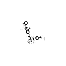 COc1cc(CC(=O)C(NC(=O)N2CCC(C(=O)O)CC2)C2CCCNC2)ccc1NC(=O)Nc1ccccc1C